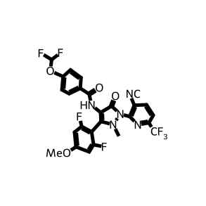 COc1cc(F)c(-c2c(NC(=O)c3ccc(OC(F)F)cc3)c(=O)n(-c3nc(C(F)(F)F)ccc3C#N)n2C)c(F)c1